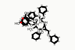 CC1N[PH]2(Oc3ccccc3)C(COc3ccccc3)C2N[PH](Oc2ccccc2)(Oc2ccccc2)N[PH]1(Oc1ccccc1)Oc1cc(O)cc(O)c1